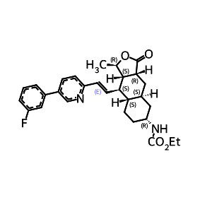 CCOC(=O)N[C@@H]1CC[C@H]2[C@H](C1)C[C@H]1C(=O)O[C@H](C)[C@H]1[C@@H]2/C=C/c1ccc(-c2cccc(F)c2)cn1